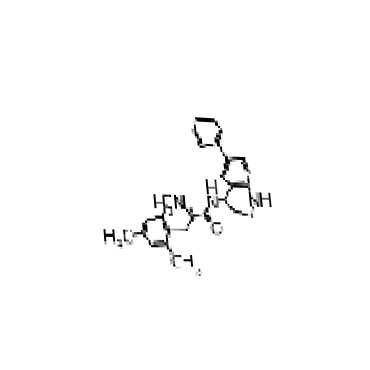 Cc1cc(C)c(CC(N)C(=O)NC2CCNc3ccc(-c4ccccc4)cc32)c(C)c1